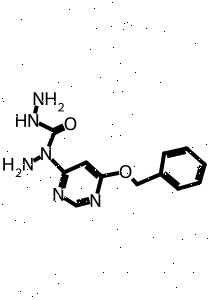 NNC(=O)N(N)c1cc(OCc2ccccc2)ncn1